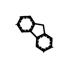 [c]1[c]cc2c(c1)Cc1c[c][c]cc1-2